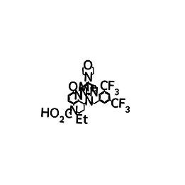 CC[C@@H]1C[C@H](N(Cc2cc(C(F)(F)F)cc(C(F)(F)F)c2)c2ncc(N3CCOCC3)cn2)c2nc(OC)ccc2N1C(=O)O